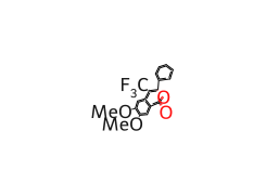 COc1cc2c(C(F)(F)F)c(-c3ccccc3)oc(=O)c2cc1OC